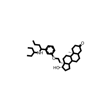 CCCC(NC(CC)CC)c1cccc(OCC[C@]23CCC4C(CCC5CC(=O)CC[C@@]54C)C2CC[C@@H]3O)c1